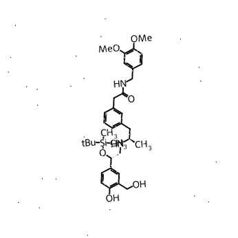 COc1ccc(CNC(=O)Cc2cccc(C[C@@H](C)NC[C@@H](O[Si](C)(C)C(C)(C)C)c3ccc(O)c(CO)c3)c2)cc1OC